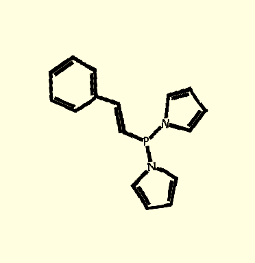 C(=CP(n1cccc1)n1cccc1)c1ccccc1